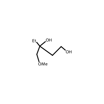 CCC(O)(CCO)COC